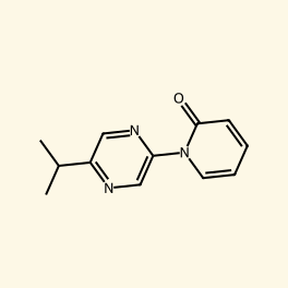 CC(C)c1cnc(-n2ccccc2=O)cn1